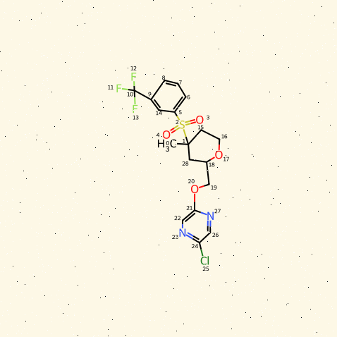 CC1(S(=O)(=O)c2cccc(C(F)(F)F)c2)CCOC(COc2cnc(Cl)cn2)C1